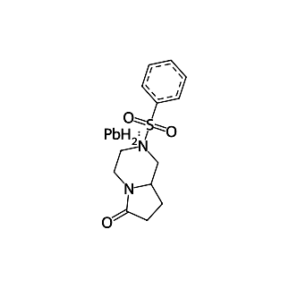 O=C1CCC2CN(S(=O)(=O)c3ccccc3)CCN12.[PbH2]